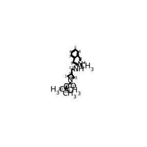 C[n+]1cc2ccccc2cc1NCC1CN(C(=O)OC(C)(C)C)C1